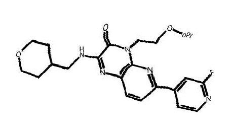 CCCOCCn1c(=O)c(NCC2CCOCC2)nc2ccc(-c3ccnc(F)c3)nc21